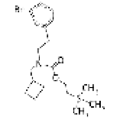 CS(C)(C)CCOC(=O)N(CCc1cccc(Br)c1)CC1CCC1